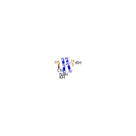 N#CS.S.[KH].[KH].[N-]=[N+]=[N-].[N-]=[N+]=[N-].[NaH]